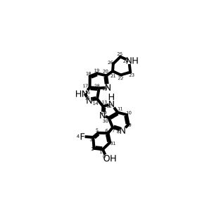 Oc1cc(F)cc(-c2nccc3[nH]c(-c4n[nH]c5ccc(C6CCNCC6)nc45)nc23)c1